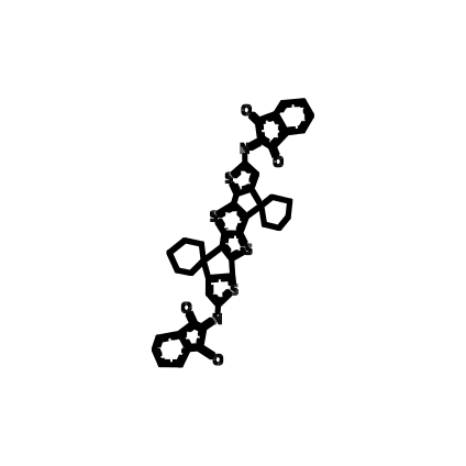 O=c1c(=Nc2cc3c(s2)-c2sc4c5c(sc4c2C32CCCCC2)-c2sc(N=c3c(=O)c4ccccc4c3=O)cc2C52CCCCC2)c(=O)c2ccccc12